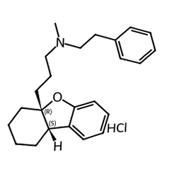 CN(CCC[C@]12CCCC[C@H]1c1ccccc1O2)CCc1ccccc1.Cl